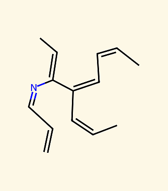 C=C\C=N/C(=C\C)C(/C=C\C)=C\C=C/C